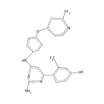 Nc1nc(Nc2ccc(Oc3ccnc(C(F)(F)F)c3)cc2)cc(-c2ccc(O)cc2C(F)(F)F)n1